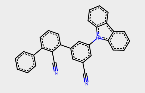 N#Cc1cc(-c2cccc(-c3ccccc3)c2C#N)cc(-n2c3ccccc3c3ccccc32)c1